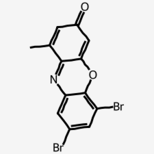 Cc1cc(=O)cc2oc3c(Br)cc(Br)cc3nc1-2